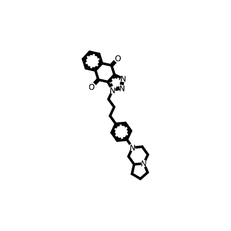 O=C1c2ccccc2C(=O)c2c1nnn2CCCc1ccc(N2CCN3CCCC3C2)cc1